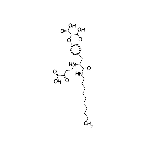 CCCCCCCCCCNC(=O)C(Cc1ccc(OC(C(=O)O)C(=O)O)cc1)NCCC(=O)C(=O)O